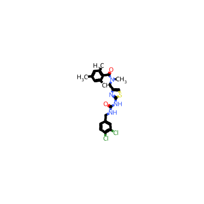 Cc1cc(C)c(C(=O)N(C)Cc2csc(NC(=O)NCc3ccc(Cl)c(Cl)c3)n2)c(C)c1